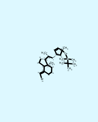 C[C@H](C[C@@H]1C=C[C@@](C)(O[Si](C)(C)C(C)(C)C)C1)[C@H]1CCC2C(=CBr)CCC[C@@]21C